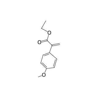 C=C(C(=O)OCC)c1ccc(OC)cc1